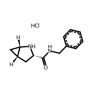 Cl.O=C(NCc1ccccc1)[C@@H]1C[C@@H]2C[C@@H]2N1